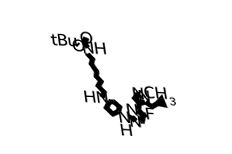 Cn1ncc(-c2nc(NC3CCC(NCCCCCCCCNC(=O)OC(C)(C)C)CC3)ncc2F)c1CC1CC1